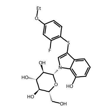 CCOc1ccc(Sc2cn([C@@H]3O[C@H](CO)[C@@H](O)[C@H](O)[C@H]3O)c3c(O)cccc23)c(F)c1